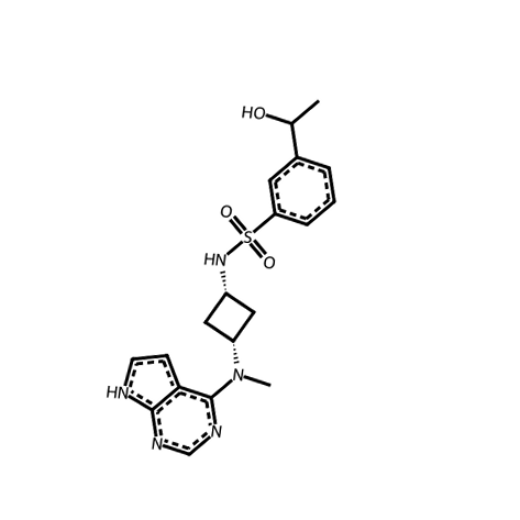 CC(O)c1cccc(S(=O)(=O)N[C@H]2C[C@@H](N(C)c3ncnc4[nH]ccc34)C2)c1